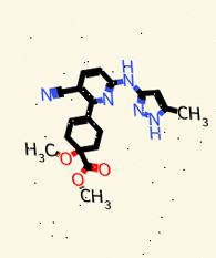 COC(=O)C1(OC)CC=C(c2nc(Nc3cc(C)[nH]n3)ccc2C#N)CC1